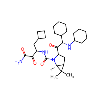 CC1(C)C2CC(C(=O)[C@@H](NC3CCCCC3)C3CCCCC3)N(C(=O)NC(CC3CCC3)C(=O)C(N)=O)[C@@H]21